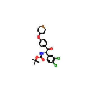 CC(C)(C)OC(=O)NC(C(=O)c1ccc(OC2CCSCC2)cc1)c1ccc(Cl)c(Cl)c1